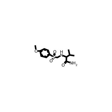 COc1ccc(S(=O)(=O)CNC(C(N)=O)C(C)C)cc1